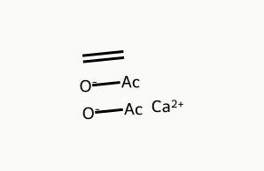 C=C.CC(=O)[O-].CC(=O)[O-].[Ca+2]